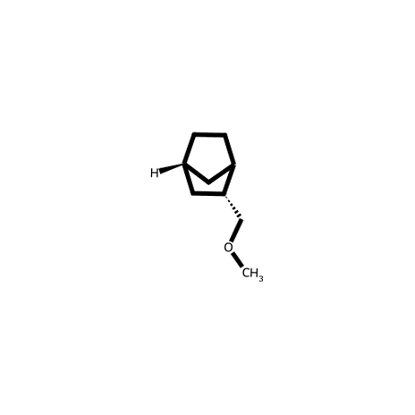 COC[C@@H]1C[C@@H]2CCC1C2